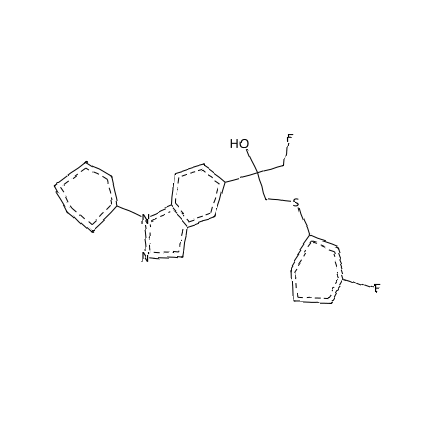 OC(CF)(CSc1cccc(F)c1)c1ccc2c(cnn2-c2ccccc2)c1